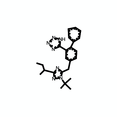 CCC(C)c1nc(Cc2ccc(-c3ccccc3)c(-c3nnn[nH]3)c2)n(C(C)(C)C)n1